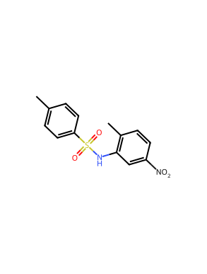 Cc1ccc(S(=O)(=O)Nc2cc([N+](=O)[O-])ccc2C)cc1